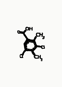 Cc1c(Cl)cc(C(=O)O)c(C)c1Cl